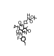 Cc1c(=O)n(C)c(Nc2ccc(I)cc2F)c2c(=O)n(C3CC3)c(=O)n(C3CC(NC(=O)OC(C)(C)C)C3)c12